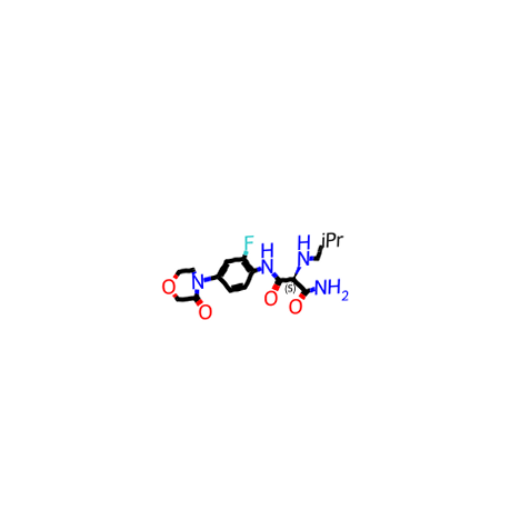 CC(C)CN[C@@H](C(N)=O)C(=O)Nc1ccc(N2CCOCC2=O)cc1F